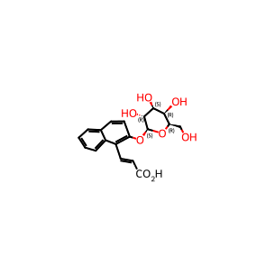 O=C(O)C=Cc1c(O[C@@H]2O[C@H](CO)[C@H](O)[C@H](O)[C@H]2O)ccc2ccccc12